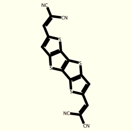 N#CC(C#N)=Cc1cc2sc3c4sc(C=C(C#N)C#N)cc4sc3c2s1